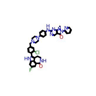 Cn1c2nc(Nc3ccc(N4CCN(Cc5ccc(-c6[nH]c7cc(F)cc8c7c6CCNC8=O)c(Cl)c5)CC4)cc3)ncc2c(=O)n1-c1ccccn1